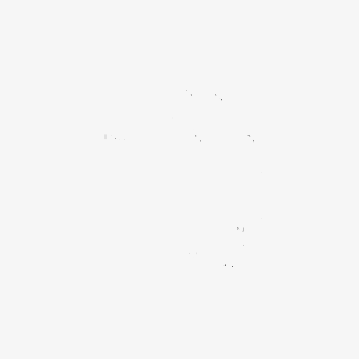 CC(C)COc1c(Cl)ccn2nc(NC3CCN(C[SH](=O)=O)CC3)nc12